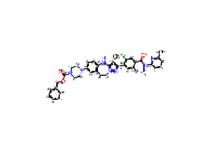 Cc1cccc(NC(=O)c2cc(F)c(-c3nn4c(c3C#N)Nc3ccc(N5CCN(C(=O)OCc6ccccc6)CC5)cc3CC4)cc2C)n1